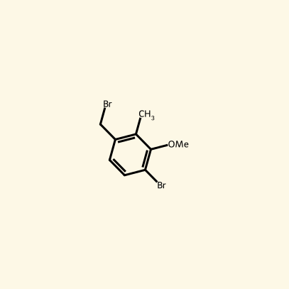 COc1c(Br)ccc(CBr)c1C